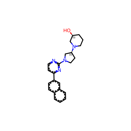 O[C@H]1CCCN([C@H]2CCN(c3nccc(-c4ccc5ccccc5c4)n3)C2)C1